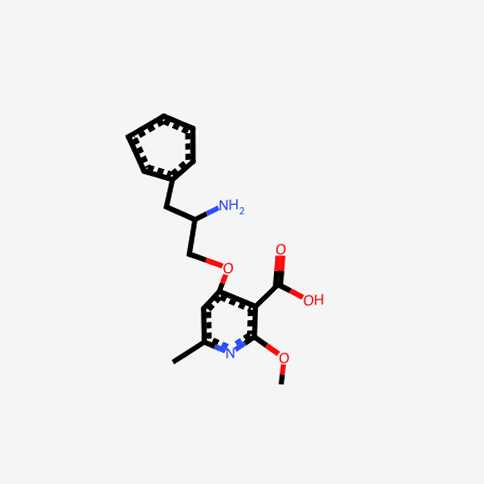 COc1nc(C)cc(OCC(N)Cc2ccccc2)c1C(=O)O